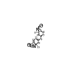 CC1(N=C=O)C=CC=C(CC2=CC=CC(C)(N=C=O)C2)C1